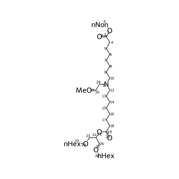 CCCCCCCCCOC(=O)CCCCCCCN(CCCCCCCC(=O)OC(COCCCCCC)COCCCCCC)CCOC